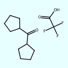 O=C(C1CCCC1)C1CCCC1.O=C(O)C(F)(F)F